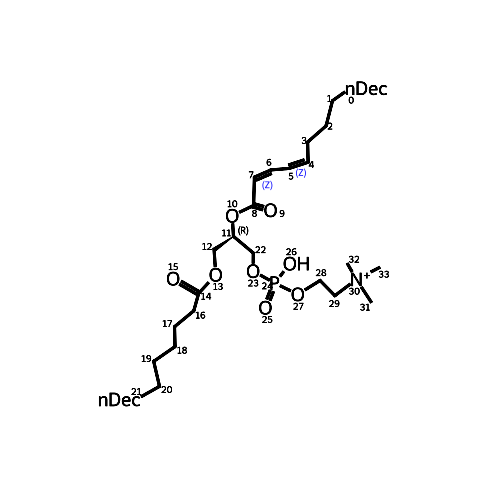 CCCCCCCCCCCCC/C=C\C=C/C(=O)O[C@H](COC(=O)CCCCCCCCCCCCCCC)COP(=O)(O)OCC[N+](C)(C)C